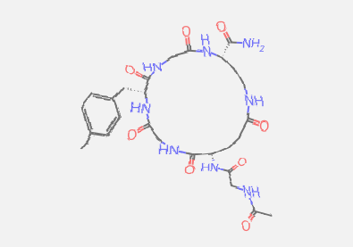 CC(=O)NCC(=O)N[C@H]1CCC(=O)NCC[C@@H](C(N)=O)NC(=O)CNC(=O)[C@@H](Cc2ccc(C)cc2)NC(=O)CNC1=O